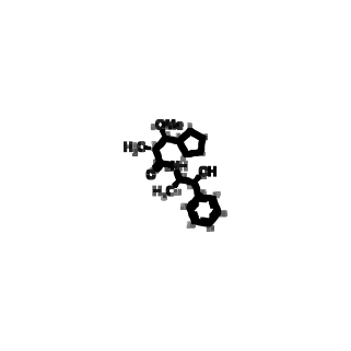 CO[C@@H](C1CCCC1)[C@@H](C)C(=O)N[C@H](C)[C@@H](O)c1ccccc1